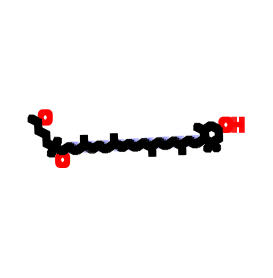 CC(=O)CCCC(C)(C)C(=O)/C=C/C(C)=C/C=C/C(C)=C/C=C/C=C(C)/C=C/C=C(C)/C=C/C1=C(C)CC(O)CC1(C)C